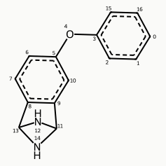 c1ccc(Oc2ccc3c(c2)C2NC3N2)cc1